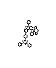 c1ccc(-c2nc(-c3ccccc3)nc(-c3ccc(-c4ccc5nc(-c6ccccc6)c6ccc7c(c6c5c4)-c4ccccc4C74c5ccccc5Sc5ccccc54)cc3)n2)cc1